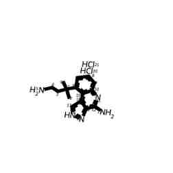 CC(C)(CCN)c1cccc2nc(N)c3n[nH]cc3c12.Cl.Cl